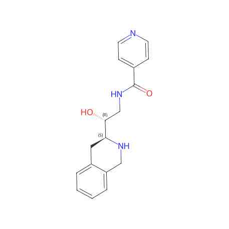 O=C(NC[C@@H](O)[C@@H]1Cc2ccccc2CN1)c1ccncc1